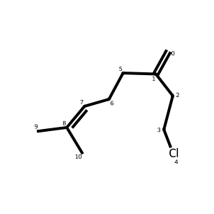 C=C(CCCl)CCC=C(C)C